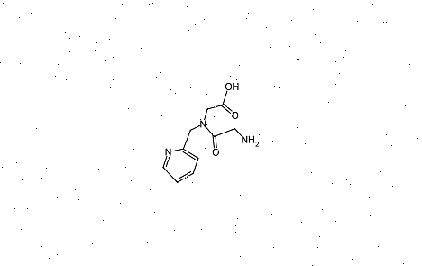 NCC(=O)N(CC(=O)O)Cc1ccccn1